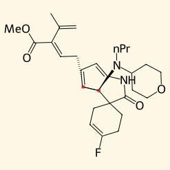 C=C(C)/C(=C\C[C@@H]1C2=CC=C3NC(=O)C4(CC=C(F)CC4)C32[C@H]1N(CCC)C1CCOCC1)C(=O)OC